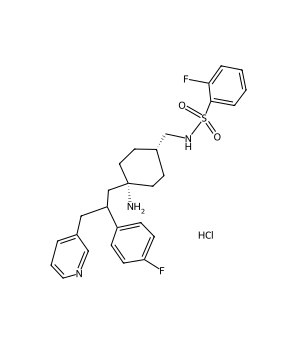 Cl.N[C@]1(CC(Cc2cccnc2)c2ccc(F)cc2)CC[C@H](CNS(=O)(=O)c2ccccc2F)CC1